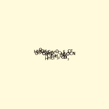 C[C@@H]1CN(CCO[C@H]2CC[C@H](N3C(=S)N(c4ccc(C#N)c(C(F)(F)F)c4)C(=O)C3(C)C)CC2)C[C@H](C)N1CC(=O)Nc1ccc([C@]2(C)CCC(=O)NC2=O)cc1.Cl